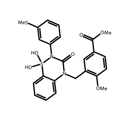 COC(=O)c1ccc(OC)c(CN2C(=O)N(c3cccc(SC)c3)S(O)(O)c3ccccc32)c1